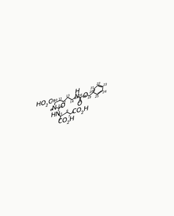 CN(C(=O)N[C@@H](CCC(=O)O)C(=O)O)[C@@H](CCCCNC(=O)OCc1ccccc1)C(=O)O